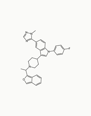 CC(c1occ2ccccc12)N1CCC(c2cn(-c3ccc(F)cc3)c3ccc(-c4ncnn4C)cc23)CC1